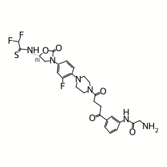 NCC(=O)Nc1cccc(C(=O)CCC(=O)N2CCN(c3ccc(N4C[C@H](CNC(=S)C(F)F)OC4=O)cc3F)CC2)c1